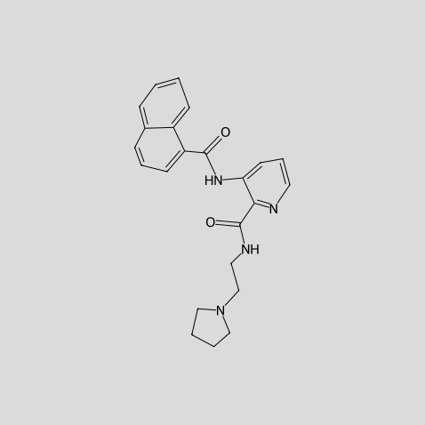 O=C(NCCN1CCCC1)c1ncccc1NC(=O)c1cccc2ccccc12